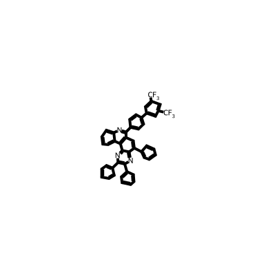 FC(F)(F)c1cc(-c2ccc(-c3nc4ccccc4c4c3cc(-c3ccccc3)c3nc(-c5ccccc5)c(-c5ccccc5)nc34)cc2)cc(C(F)(F)F)c1